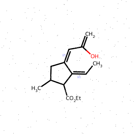 C=C(O)/C=C1/CC(C)C(C(=O)OCC)/C1=C/C